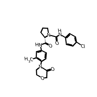 Cc1cc(NC(=O)[C@@H]2CCCN2C(=O)Nc2ccc(Cl)cc2)ccc1N1CCOCC1=O